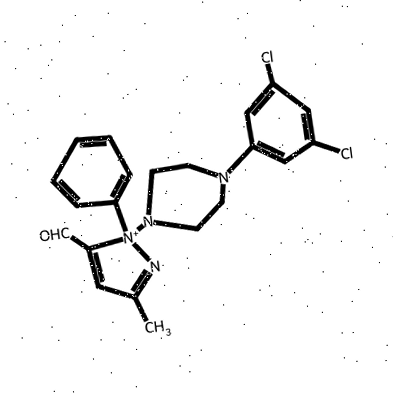 CC1=N[N+](c2ccccc2)(N2CCN(c3cc(Cl)cc(Cl)c3)CC2)C(C=O)=C1